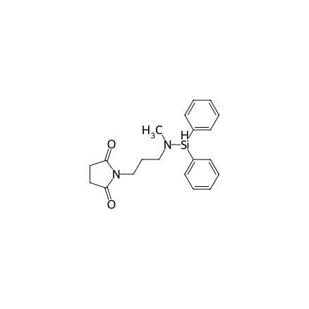 CN(CCCN1C(=O)CCC1=O)[SiH](c1ccccc1)c1ccccc1